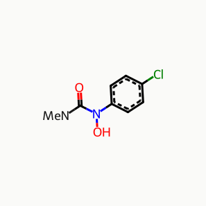 CNC(=O)N(O)c1ccc(Cl)cc1